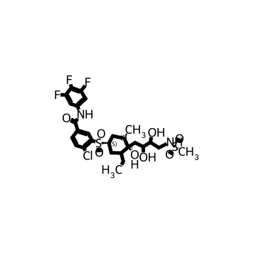 CCC1C[C@@H](S(=O)(=O)c2cc(C(=O)Nc3cc(F)c(F)c(F)c3)ccc2Cl)C[C@H](C)[C@@]1(O)CC(O)C(O)CNS(C)(=O)=O